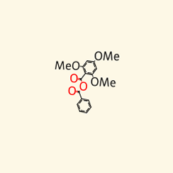 COc1cc(OC)c(C(=O)OC(=O)c2ccccc2)c(OC)c1